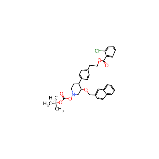 CC(C)(C)OC(=O)ON1CCC(c2ccc(CCOC(=O)c3ccccc3Cl)cc2)C(OCc2ccc3ccccc3c2)C1